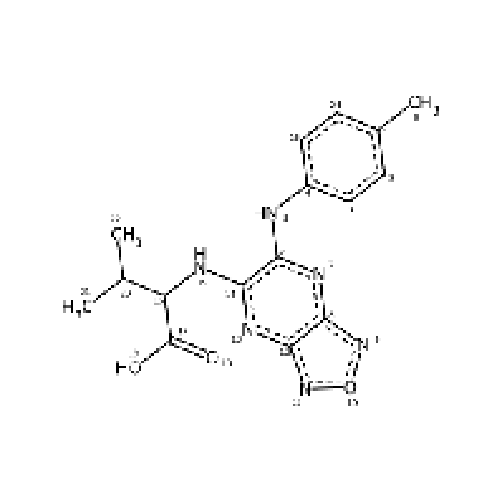 Cc1ccc(Nc2nc3nonc3nc2NC(C(=O)O)C(C)C)cc1